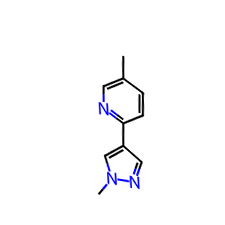 Cc1ccc(-c2cnn(C)c2)nc1